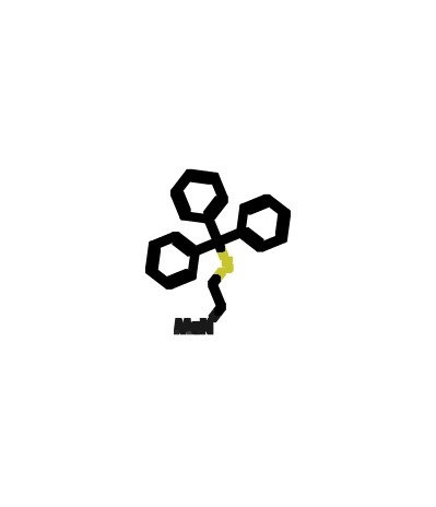 CNCCSC(c1ccccc1)(c1ccccc1)c1ccccc1